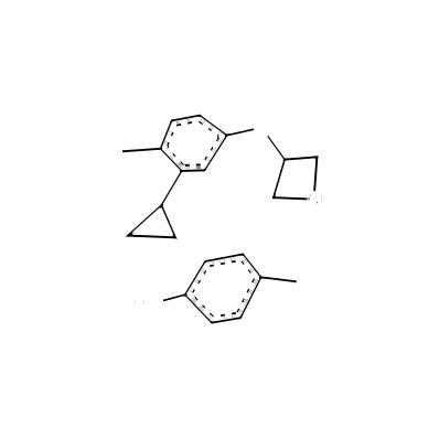 Cc1ccc(S(=O)(=O)O)cc1.Clc1ccc(OC2CNC2)cc1C1CC1